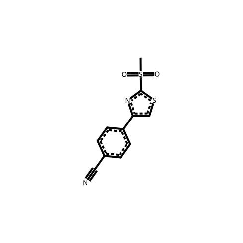 CS(=O)(=O)c1nc(-c2ccc(C#N)cc2)cs1